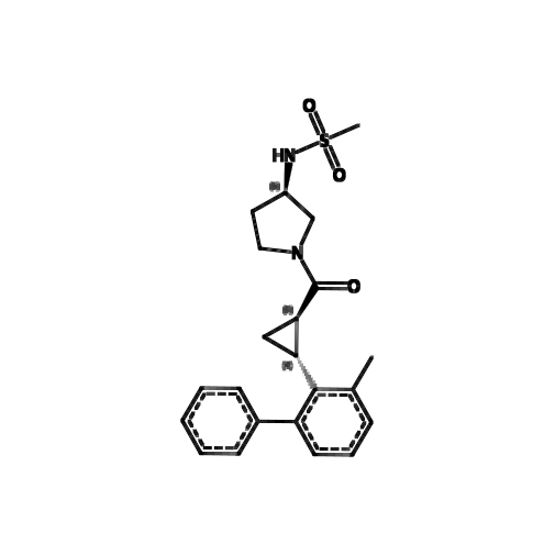 Cc1cccc(-c2ccccc2)c1[C@@H]1C[C@H]1C(=O)N1CC[C@@H](NS(C)(=O)=O)C1